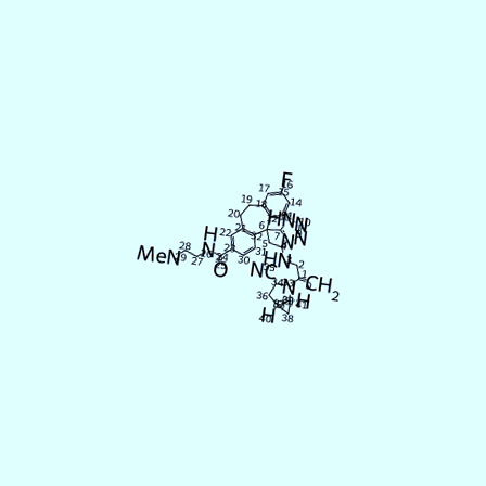 C=C(CNCCC1(c2nnn[nH]2)c2ccc(F)cc2CCc2cc(C(=O)NCCNC)ccc21)N1C(C#N)C[C@@H]2C[C@@H]21